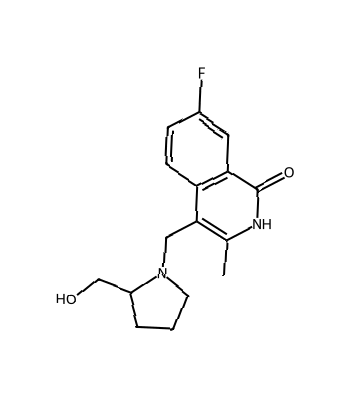 Cc1[nH]c(=O)c2cc(F)ccc2c1CN1CCCC1CO